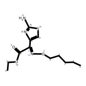 CCCCCO/N=C(/C(=O)OCC)c1csc(N)n1